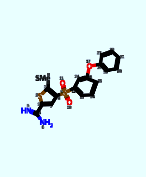 CSc1sc(C(=N)N)cc1S(=O)(=O)c1cccc(Oc2ccccc2)c1